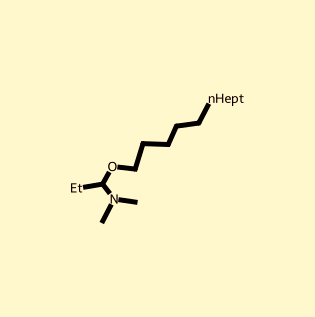 CCCCCCCCCCCCOC(CC)N(C)C